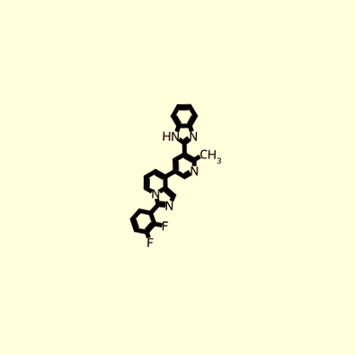 Cc1ncc(-c2cccn3c(C4CC=CC(F)=C4F)ncc23)cc1-c1nc2ccccc2[nH]1